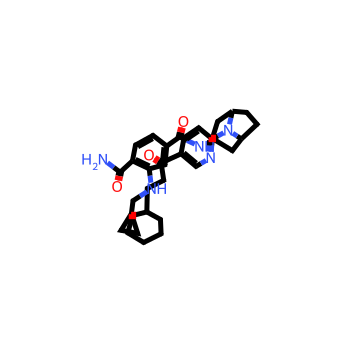 NC(=O)c1ccc(C(=O)NC2CC3CCC(C2)N3c2ccc(C(=O)CCC3CCCCC3)cn2)cc1NCC1CC1